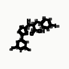 Cc1cc(F)cc(-c2csc(NC(Cc3ccc(I)cc3)C(=O)O)n2)c1